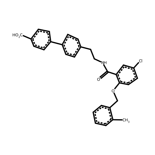 Cc1ccccc1COc1ccc(Cl)cc1C(=O)NCCc1ccc(-c2ccc(C(=O)O)cc2)cc1